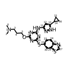 CN(C)CCCOc1nc(Nc2cc(C3CC3)[nH]n2)nc(Sc2ccc3ncsc3c2)n1